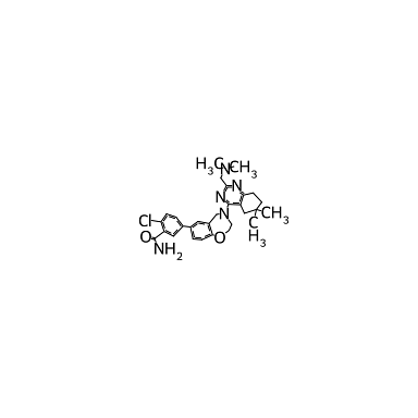 CN(C)Cc1nc2c(c(N3CCOc4ccc(-c5ccc(Cl)c(C(N)=O)c5)cc4C3)n1)CC(C)(C)CC2